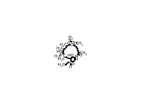 C=CCn1c(=O)oc2cc3c(O)c(c21)C[C@@H](C)C[C@H](OC)[C@H](O)[C@@H](C)/C=C(\C)[C@H](OC(N)=O)C[C@@H](OC)/C=C\C=C(/C)C(=O)N3